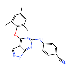 Cc1cc(C)c(Oc2nc(Nc3ccc(C#N)cc3)nc3[nH]ncc23)c(C)c1